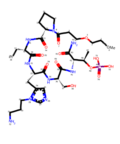 COCCOCCC(=O)N1CCC[C@H]1C(=O)N[C@@H](CC(C)C)C(=O)N[C@@H](Cc1cncn1CCCN)C(=O)N[C@@H](CO)C(=O)N[C@H](C(N)=O)[C@@H](C)OP(=O)(O)O